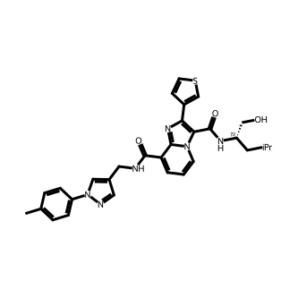 Cc1ccc(-n2cc(CNC(=O)c3cccn4c(C(=O)N[C@H](CO)CC(C)C)c(-c5ccsc5)nc34)cn2)cc1